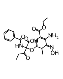 CCOC(=O)C1=C(N)C(=NO)C(C)C(OC(NC(=O)c2ccccc2)(C(=O)O)C(=O)CC)=C1